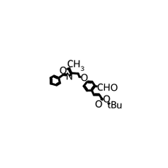 Cc1oc(-c2ccccc2)nc1CCOc1ccc(/C=C/C(=O)OC(C)(C)C)c(C=O)c1